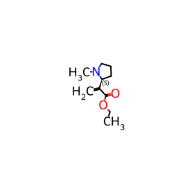 C=C(C(=O)OCC)[C@@H]1CCCN1C